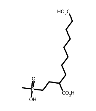 CP(=O)(O)CCC(CCCCCCCC(=O)O)C(=O)O